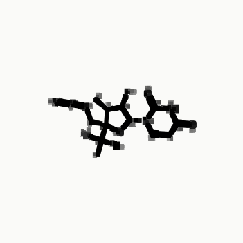 [2H]C([2H])(C)[C@@]1(CN=[N+]=[N-])O[C@@H](n2ccc(=O)[nH]c2=O)[C@H](F)[C@@H]1C